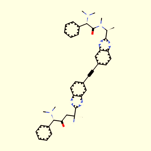 C[C@@H](c1nc2cc(C#Cc3ccc4nc([C@@](C)(N)CC(=O)[C@@H](c5ccccc5)N(C)C)[nH]c4c3)ccc2[nH]1)N(C)C(=O)[C@@H](c1ccccc1)N(C)C